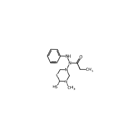 CCC(=O)N(Nc1ccccc1)N1CSC(S)N(C)C1